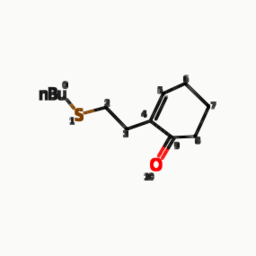 CCCCSCCC1=CCCCC1=O